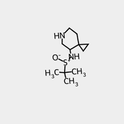 CC(C)(C)[S+]([O-])NC1CNCCC12CC2